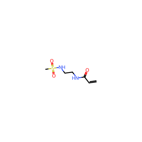 C=CC(=O)NCCNS(C)(=O)=O